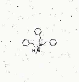 [SiH3][SiH](CCc1ccccc1)[SiH](CCc1ccccc1)CCc1ccccc1